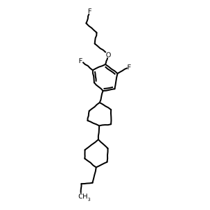 CCCC1CCC(C2CCC(c3cc(F)c(OCCCF)c(F)c3)CC2)CC1